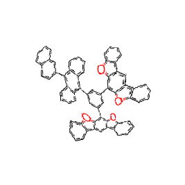 c1ccc2cc(-c3c4ccccc4c(-c4cc(-c5c6oc7ccccc7c6cc6c5oc5ccccc56)cc(-c5c6oc7ccccc7c6cc6c5oc5ccccc56)c4)c4ccccc34)ccc2c1